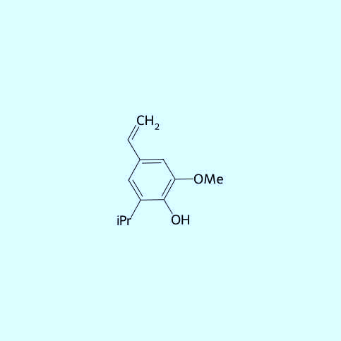 C=Cc1cc(OC)c(O)c(C(C)C)c1